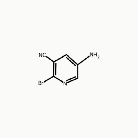 N#Cc1cc(N)cnc1Br